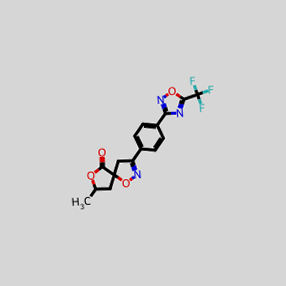 CC1CC2(CC(c3ccc(-c4noc(C(F)(F)F)n4)cc3)=NO2)C(=O)O1